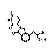 CC(C)(C)C(Oc1cccc2c1CN(C1CCC(=O)NC1=O)C2=O)C(=O)O